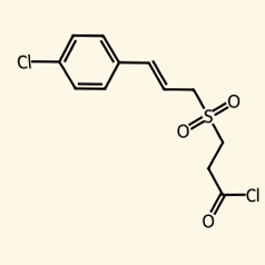 O=C(Cl)CCS(=O)(=O)CC=Cc1ccc(Cl)cc1